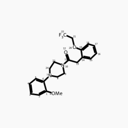 COc1ccccc1N1CCN(C(=O)Cc2ccccc2OCC(F)(F)F)CC1